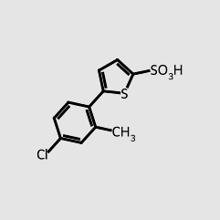 Cc1cc(Cl)ccc1-c1ccc(S(=O)(=O)O)s1